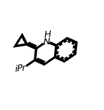 CC(C)C1=Cc2ccccc2NC1=C1CC1